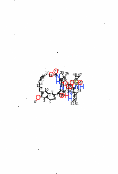 COc1cc2ccc3cc2cc1CCCCCCOC(=O)N[C@@H](C(C)(C)C)C(=O)N1C[C@@]3(O)C[C@H]1C(=O)N[C@]1(C(=O)NS(=O)(=O)C2CC2)C[C@H]1C1CC1